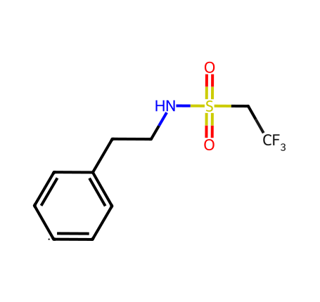 O=S(=O)(CC(F)(F)F)NCCc1cc[c]cc1